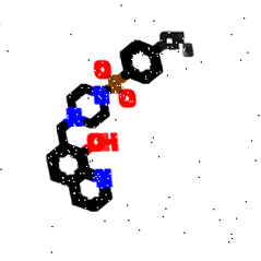 O=S(=O)(c1ccc(C(F)(F)F)cc1)N1CCN(Cc2ccc3cccnc3c2O)CC1